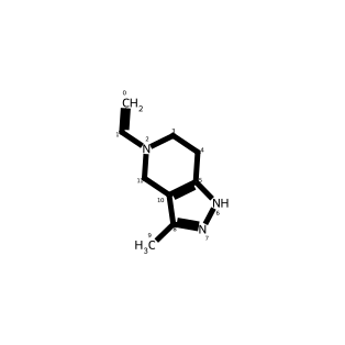 C=CN1CCc2[nH]nc(C)c2C1